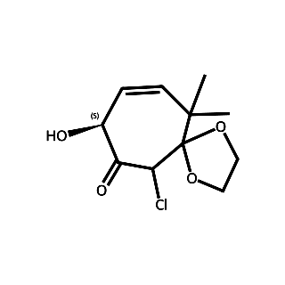 CC1(C)C=C[C@H](O)C(=O)C(Cl)C12OCCO2